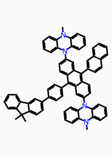 CN1c2ccccc2N(c2ccc3c(-c4ccc5ccccc5c4)c4cc(N5c6ccccc6N(C)c6ccccc65)ccc4c(-c4ccc(-c5ccc6c(c5)-c5ccccc5C6(C)C)cc4)c3c2)c2ccccc21